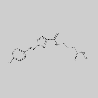 O=C(CCCNC(=O)c1ccc(/C=C/c2ccc(Cl)cc2)o1)NO